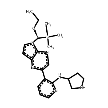 CCO[C@H](n1ccc2nc(-c3cccnc3NC3CCNC3)cnc21)[Si](C)(C)C